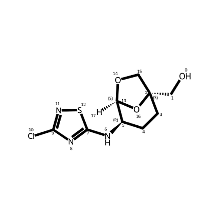 OC[C@@]12CC[C@@H](Nc3nc(Cl)ns3)[C@@H](OC1)O2